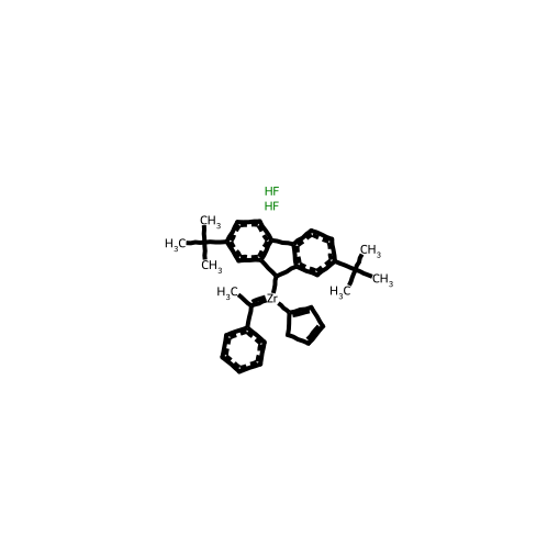 C/[C](c1ccccc1)=[Zr](/[C]1=CC=CC1)[CH]1c2cc(C(C)(C)C)ccc2-c2ccc(C(C)(C)C)cc21.F.F